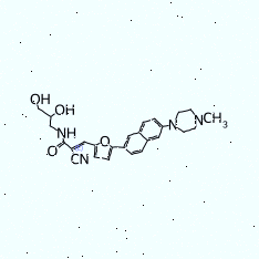 CN1CCN(c2ccc3cc(-c4ccc(/C=C(\C#N)C(=O)NCC(O)CO)o4)ccc3c2)CC1